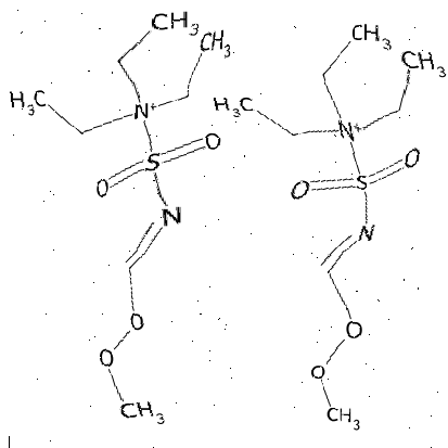 CC[N+](CC)(CC)S(=O)(=O)N=COOC.CC[N+](CC)(CC)S(=O)(=O)N=COOC